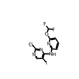 FC(F)Oc1cccc(Nc2nc(Cl)ncc2I)n1